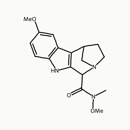 COc1ccc2[nH]c3c(c2c1)C1CCN(C1)C3C(=O)N(C)OC